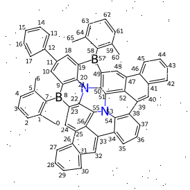 Cc1cccc(C)c1B1c2cc(-c3ccccc3)cc3c2-n2c4c1cc1c5ccccc5cc5c6cccc7c8cc9ccccc9c9cc(c2c(c98)n(c67)c4c15)B3c1c(C)cccc1C